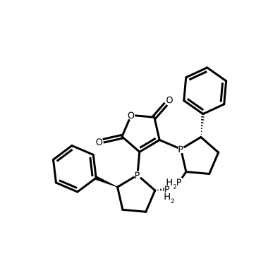 O=C1OC(=O)C(P2[C@H](P)CC[C@H]2c2ccccc2)=C1P1C(P)CC[C@H]1c1ccccc1